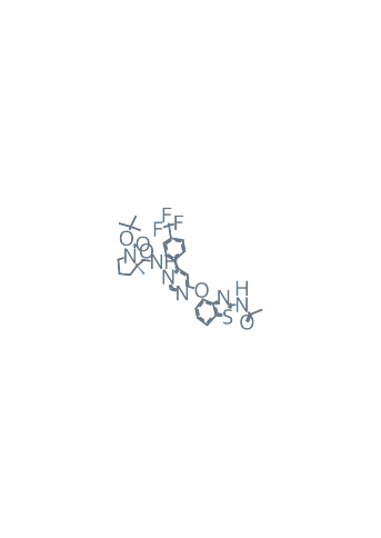 CC(=O)Nc1nc2c(Oc3cc(-c4ccc(C(F)(F)F)cc4NC(=O)[C@]4(C)CCCN4C(=O)OC(C)(C)C)ncn3)cccc2s1